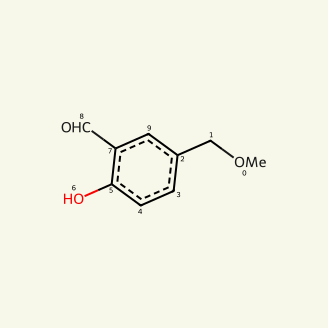 COCc1ccc(O)c(C=O)c1